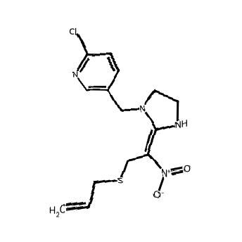 C=CCSCC(=C1NCCN1Cc1ccc(Cl)nc1)[N+](=O)[O-]